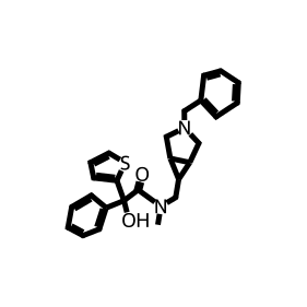 CN(CC1C2CN(Cc3ccccc3)CC21)C(=O)C(O)(c1ccccc1)c1cccs1